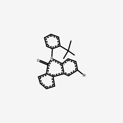 CC(C)(C)c1ccccc1-n1c(=O)c2ccccc2c2cc(Br)ccc21